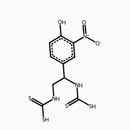 O=[N+]([O-])c1cc(C(CNC(=S)S)NC(=S)S)ccc1O